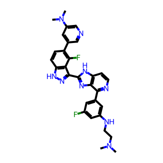 CN(C)CCNc1cc(F)cc(-c2nccc3[nH]c(-c4n[nH]c5ccc(-c6cncc(N(C)C)c6)c(F)c45)nc23)c1